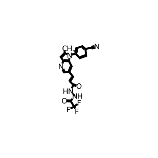 Cc1cc2ncc(C=CC(=O)NNC(=O)C(F)(F)F)cc2n1-c1ccc(C#N)cc1